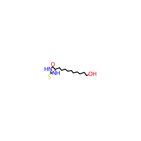 O=C1NC(=S)NC1CCCCCCCCCCO